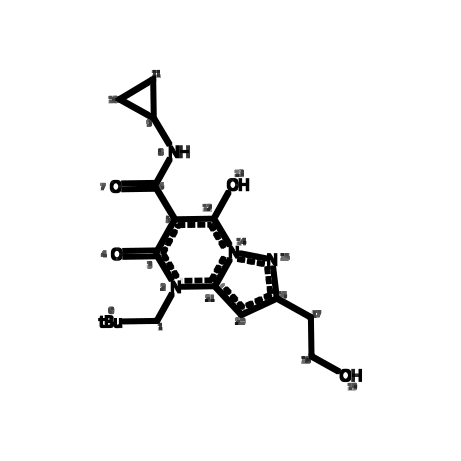 CC(C)(C)Cn1c(=O)c(C(=O)NC2CC2)c(O)n2nc(CCO)cc12